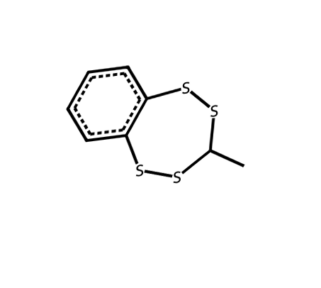 CC1SSc2ccccc2SS1